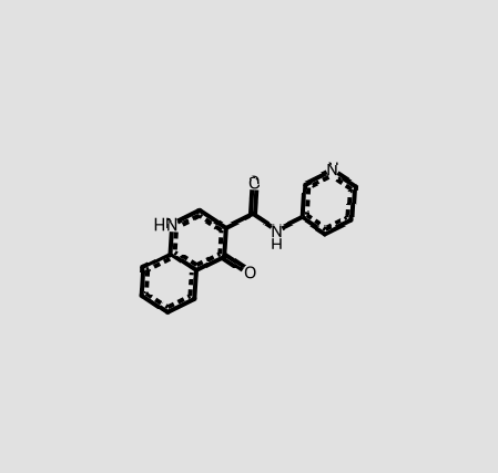 O=C(Nc1cccnc1)c1c[nH]c2ccccc2c1=O